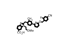 COCCn1c(Cc2ccc(-c3cccc(OCc4ccc(C#N)cc4F)n3)cc2C)nc2ccc(C(=O)O)cc21